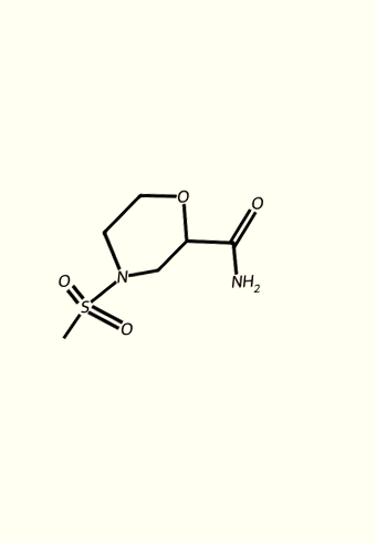 CS(=O)(=O)N1CCOC(C(N)=O)C1